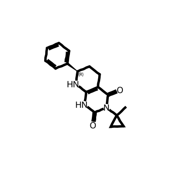 CC1(n2c(=O)[nH]c3c(c2=O)CC[C@H](c2ccccc2)N3)CC1